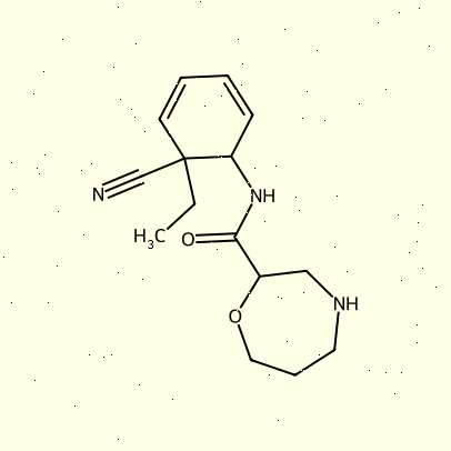 CCC1(C#N)C=CC=CC1NC(=O)C1CNCCCO1